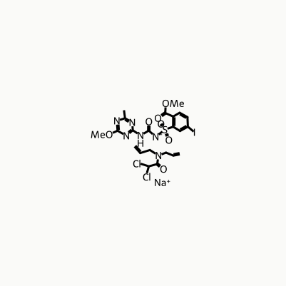 C=CCN(CC=C)C(=O)C(Cl)Cl.COC(=O)c1ccc(I)cc1S(=O)(=O)[N-]C(=O)Nc1nc(C)nc(OC)n1.[Na+]